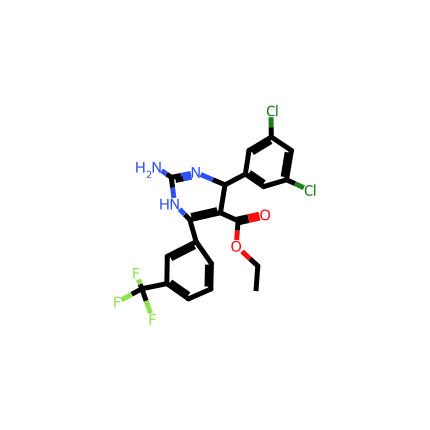 CCOC(=O)C1=C(c2cccc(C(F)(F)F)c2)NC(N)=NC1c1cc(Cl)cc(Cl)c1